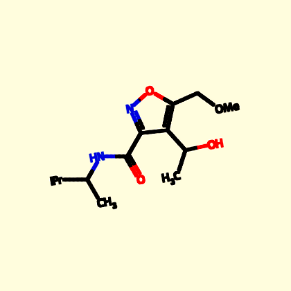 COCc1onc(C(=O)NC(C)C(C)C)c1C(C)O